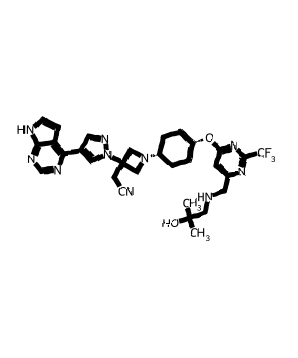 CC(C)(O)CNCc1cc(O[C@H]2CC[C@@H](N3CC(CC#N)(n4cc(-c5ncnc6[nH]ccc56)cn4)C3)CC2)nc(C(F)(F)F)n1